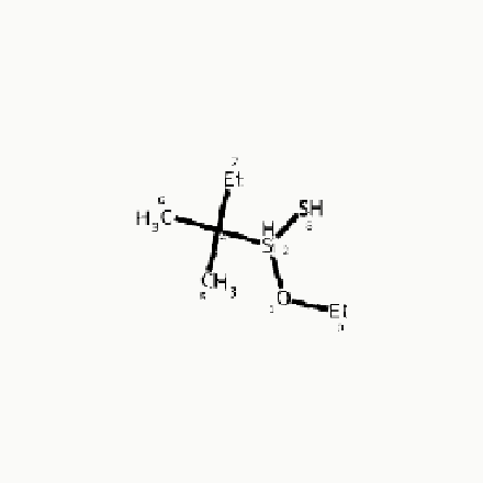 CCO[SiH](S)C(C)(C)CC